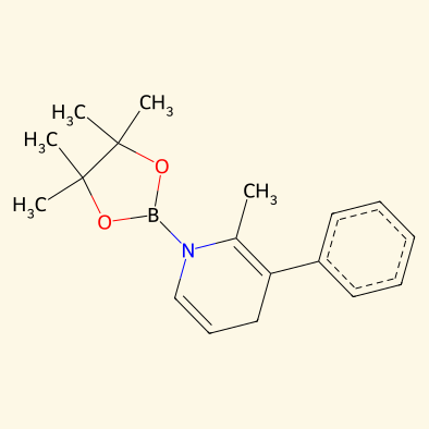 CC1=C(c2ccccc2)CC=CN1B1OC(C)(C)C(C)(C)O1